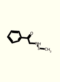 CSNCC(=O)c1ccccc1